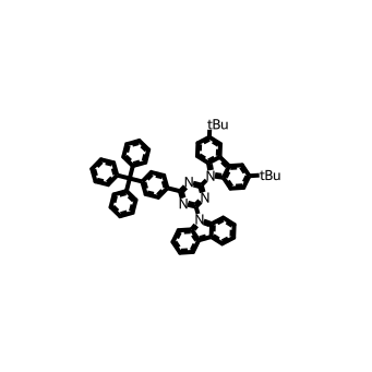 CC(C)(C)c1ccc2c(c1)c1cc(C(C)(C)C)ccc1n2-c1nc(-c2ccc(C(c3ccccc3)(c3ccccc3)c3ccccc3)cc2)nc(-n2c3ccccc3c3ccccc32)n1